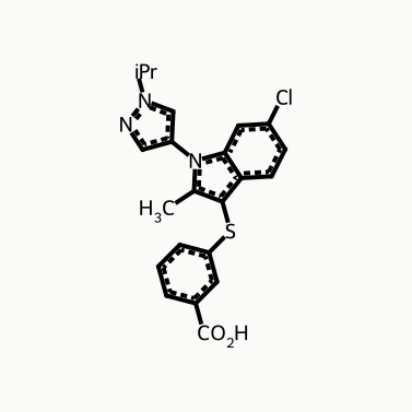 Cc1c(Sc2cccc(C(=O)O)c2)c2ccc(Cl)cc2n1-c1cnn(C(C)C)c1